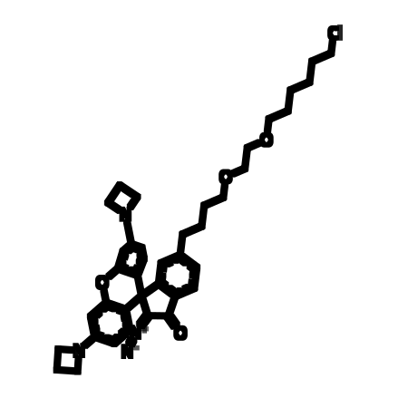 [N-]=[N+]=C1C(=O)c2ccc(CCCCOCCOCCCCCCCl)cc2C12c1ccc(N3CCC3)cc1Oc1cc(N3CCC3)ccc12